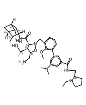 CCN1CCC[C@@H]1CNC(=O)c1cc(-c2cccc(CN3O[C@@H](CN)[C@@H]([C@H](C)O)[C@H]3C(=O)N[C@H]3C[C@H]4C[C@@H]([C@@H]3C)C4(C)C)c2OC)cc(N(C)C)c1